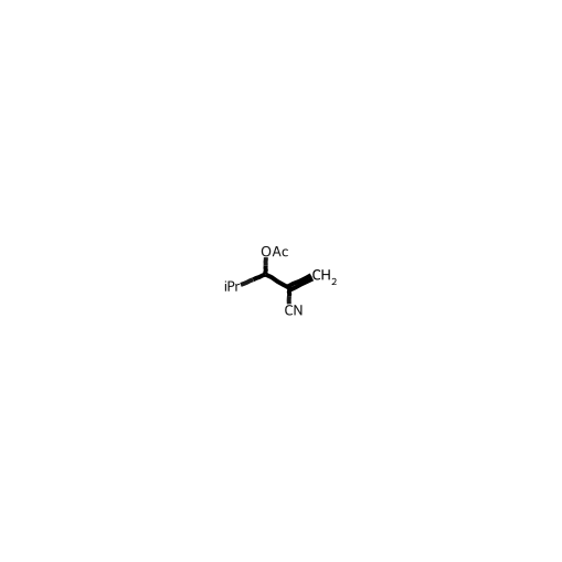 C=C(C#N)C(OC(C)=O)C(C)C